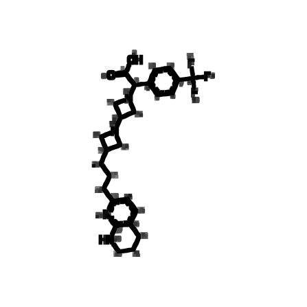 O=C(O)C(c1ccc(C(F)(F)F)cc1)N1CC(N2CC(CCCc3ccc4c(n3)NCCC4)C2)C1